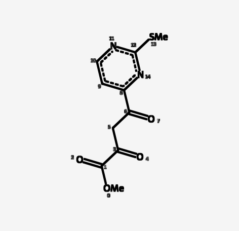 COC(=O)C(=O)CC(=O)c1ccnc(SC)n1